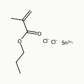 C=C(C)C(=O)OCCC.[Cl-].[Cl-].[Sn+2]